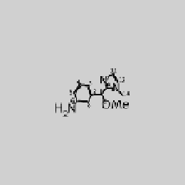 COC(c1cccc(N)c1)c1nccn1C